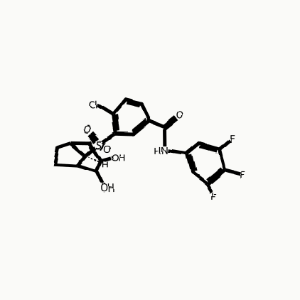 O=C(Nc1cc(F)c(F)c(F)c1)c1ccc(Cl)c(S(=O)(=O)[C@@H]2C3CCC2C(O)C(O)C3)c1